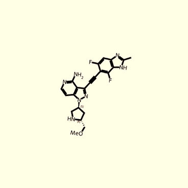 COC[C@H]1C[C@H](n2nc(C#Cc3c(F)cc4nc(C)[nH]c4c3F)c3c(N)nccc32)CN1